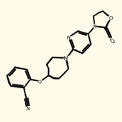 N#Cc1ccccc1OC1CCN(c2ccc(N3CCOC3=O)cn2)CC1